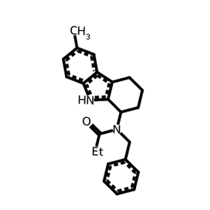 CCC(=O)N(Cc1ccccc1)C1CCCc2c1[nH]c1ccc(C)cc21